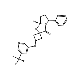 O=C1N2[C@@H](CC[C@H]2c2ccccc2)OC12CC(Oc1cncc(C(F)(F)F)c1)C2